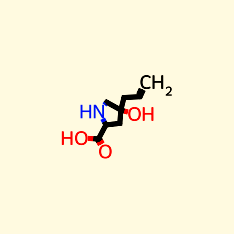 C=CCC1(O)CNC(C(=O)O)C1